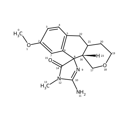 COc1ccc2c(c1)C1(N=C(N)N(C)C1=O)[C@H]1COCCC1C2